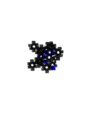 N#Cc1c(-c2ccncc2)c(-n2c3ccccc3c3ccccc32)c(-n2c3ccccc3c3cc(-c4ccccc4)ccc32)c(-n2c3ccccc3c3cc(-c4ccccc4)ccc32)c1-n1c2ccccc2c2ccccc21